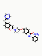 Nc1ccccc1NC(=O)c1ccc(OCCN(C=O)c2cc3cc(Cc4ncncn4)ccc3o2)cc1